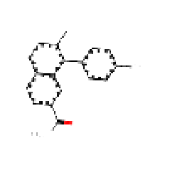 COC(=O)c1ccc2ccc(C)c(-c3ccc(C#N)cc3)c2c1